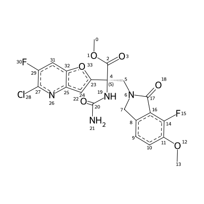 COC(=O)[C@@](CN1Cc2ccc(OC)c(F)c2C1=O)(NC(N)=O)c1cc2nc(Cl)c(F)cc2o1